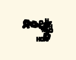 Cc1cccc(N2CCN(C(=O)Cn3nc(C(=O)N4CCC(C)(CO)CC4)c4c3C[C@H]3C[C@@H]43)CC2)c1C